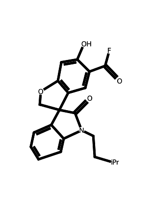 CC(C)CCN1C(=O)C2(COc3cc(O)c(C(=O)F)cc32)c2ccccc21